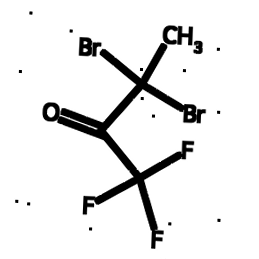 CC(Br)(Br)C(=O)C(F)(F)F